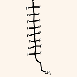 CCCCC(F)(F)C(F)(F)C(F)(F)C(F)(F)C(F)(F)C(F)(F)C(F)(F)C(F)(F)F